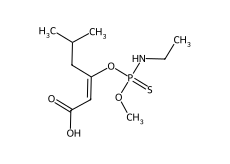 CCNP(=S)(OC)OC(=CC(=O)O)CC(C)C